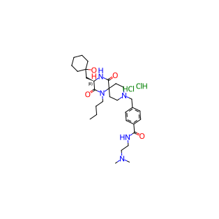 CCCCN1C(=O)[C@@H](CC2(O)CCCCC2)NC(=O)C12CCN(Cc1ccc(C(=O)NCCN(C)C)cc1)CC2.Cl.Cl